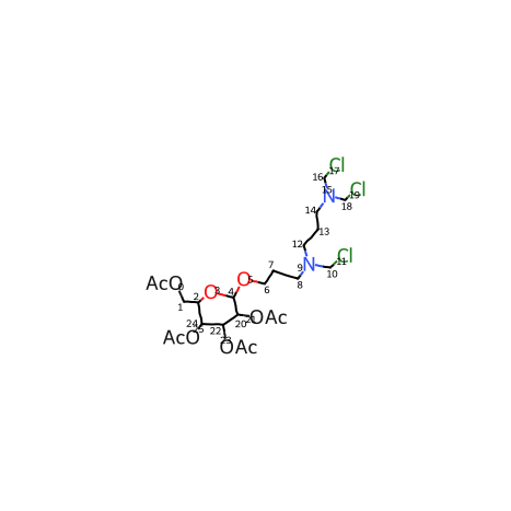 CC(=O)OCC1OC(OCCCN(CCl)CCCN(CCl)CCl)C(OC(C)=O)C(OC(C)=O)C1OC(C)=O